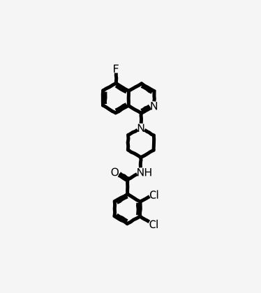 O=C(NC1CCN(c2nccc3c(F)cccc23)CC1)c1cccc(Cl)c1Cl